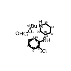 CC(C)(C)OC=O.Clc1cccnc1N[C@@H]1CCCNC1